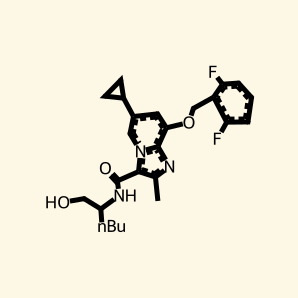 CCCCC(CO)NC(=O)c1c(C)nc2c(OCc3c(F)cccc3F)cc(C3CC3)cn12